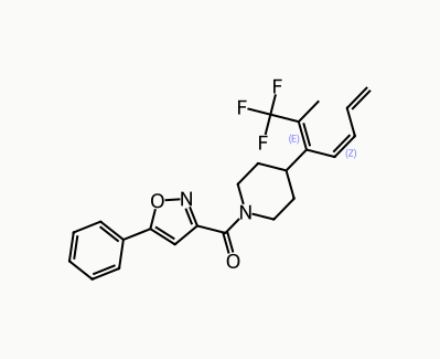 C=C/C=C\C(=C(/C)C(F)(F)F)C1CCN(C(=O)c2cc(-c3ccccc3)on2)CC1